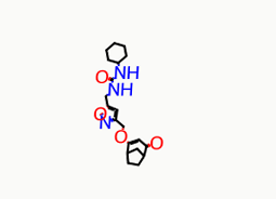 O=C(NCc1cc(COC2=CC(=O)C3CCC2C3)no1)NC1CCCCC1